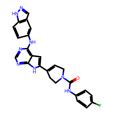 O=C(Nc1ccc(F)cc1)N1CC=C(c2cc3c(Nc4ccc5[nH]ncc5c4)ncnc3[nH]2)CC1